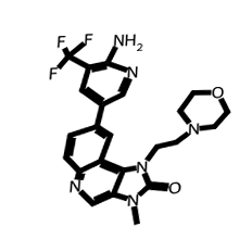 Cn1c(=O)n(CCN2CCOCC2)c2c3cc(-c4cnc(N)c(C(F)(F)F)c4)ccc3ncc21